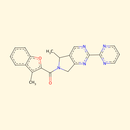 Cc1c(C(=O)N2Cc3nc(-c4ncccn4)ncc3C2C)oc2ccccc12